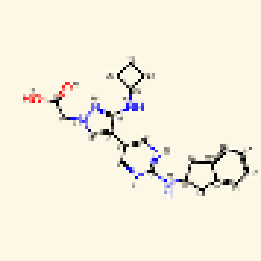 O=C(O)Cn1cc(-c2cnc(NC3Cc4ccccc4C3)nc2)c(NC2CCC2)n1